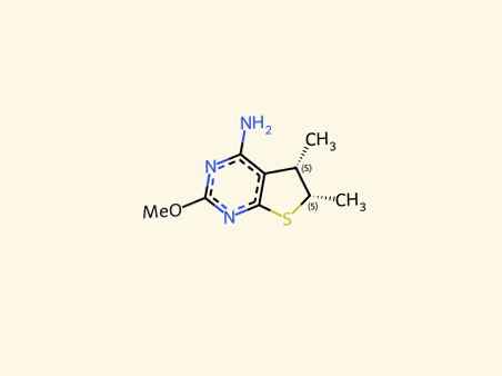 COc1nc(N)c2c(n1)S[C@@H](C)[C@H]2C